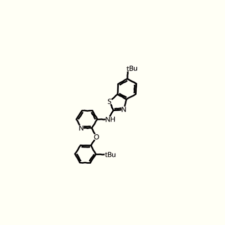 CC(C)(C)c1ccc2nc(Nc3cccnc3Oc3ccccc3C(C)(C)C)sc2c1